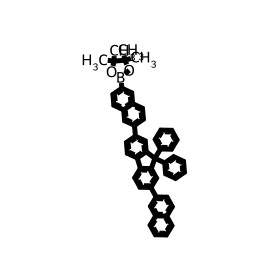 CC1(C)OB(c2ccc3cc(-c4ccc5c(c4)C(c4ccccc4)(c4ccccc4)c4cc(-c6ccc7ccccc7c6)ccc4-5)ccc3c2)OC1(C)C